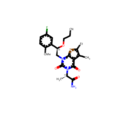 CCc1sc2c(c1C)c(=O)n([C@@H](C)C(N)=O)c(=O)n2C[C@H](OCCC#N)c1cc(F)ccc1OC